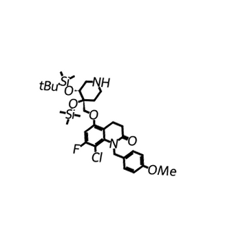 COc1ccc(CN2C(=O)CCc3c(OC[C@]4(O[Si](C)(C)C)CCNC[C@H]4O[Si](C)(C)C(C)(C)C)cc(F)c(Cl)c32)cc1